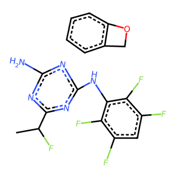 CC(F)c1nc(N)nc(Nc2c(F)c(F)cc(F)c2F)n1.c1ccc2c(c1)CO2